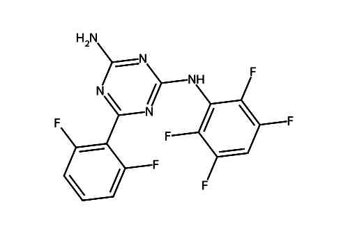 Nc1nc(Nc2c(F)c(F)cc(F)c2F)nc(-c2c(F)cccc2F)n1